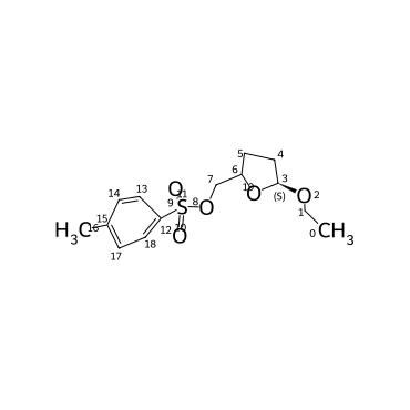 CCO[C@@H]1CCC(COS(=O)(=O)c2ccc(C)cc2)O1